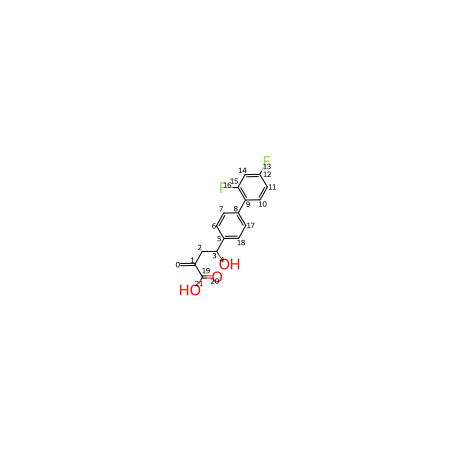 C=C(CC(O)c1ccc(-c2ccc(F)cc2F)cc1)C(=O)O